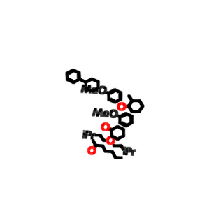 CC(C)CCOCCC(C)C.CC1CCCCC1=O.CCCCCC(C)=O.COc1ccccc1.COc1ccccc1.O=C1CCCCC1.c1ccc(C2CCCCC2)cc1